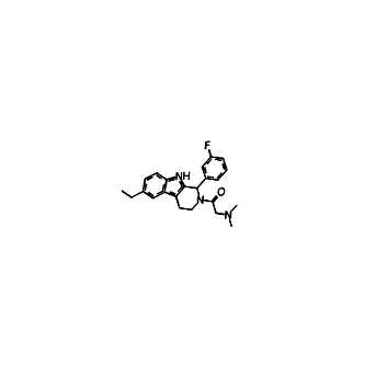 CCc1ccc2[nH]c3c(c2c1)CCN(C(=O)CN(C)C)C3c1cccc(F)c1